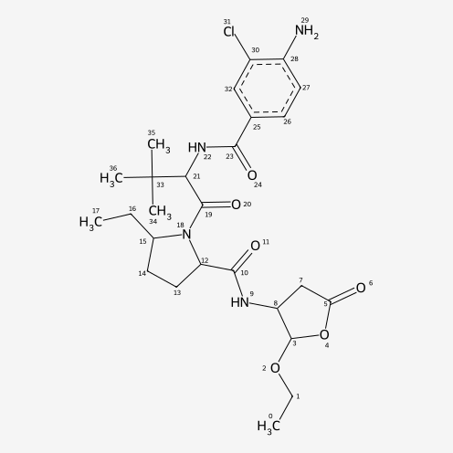 CCOC1OC(=O)CC1NC(=O)C1CCC(CC)N1C(=O)C(NC(=O)c1ccc(N)c(Cl)c1)C(C)(C)C